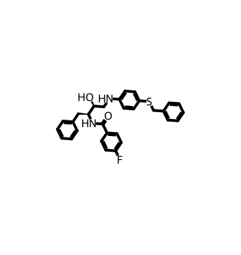 O=C(N[C@@H](Cc1ccccc1)[C@@H](O)CNc1ccc(SCc2ccccc2)cc1)c1ccc(F)cc1